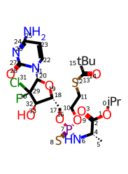 CC(C)OC(=O)[C@H](C)NP(=S)(OCCSC(=O)C(C)(C)C)OC[C@H]1O[C@@H](n2ccc(N)nc2=O)[C@@](F)(Cl)[C@@H]1O